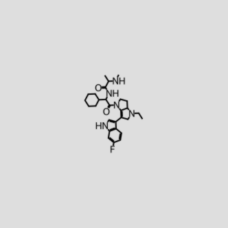 CCN1CC(c2c[nH]c3cc(F)ccc23)=C2C1CCN2C(=O)C(NC(=O)C(C)NC)C1CCCCC1